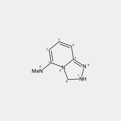 CNC1=CC=CC2=NNCN12